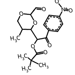 CC1COC(C=O)OC1C(OC(=O)C(C)(C)C)C(=O)c1ccc([N+](=O)[O-])cc1